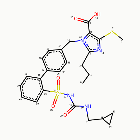 CCCc1nc(SC)c(C(=O)O)n1Cc1ccc(-c2ccccc2S(=O)(=O)NC(=O)NCC2CC2)cc1